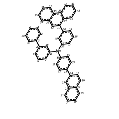 c1ccc(-c2cccc(N(c3ccc(-c4ccc5ccccc5c4)cc3)c3cccc(-c4cc5ccccc5c5ccccc45)c3)c2)cc1